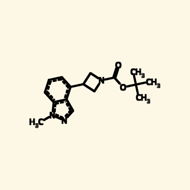 Cn1ncc2c(C3CN(C(=O)OC(C)(C)C)C3)cccc21